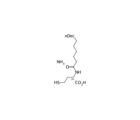 CCCCCCCCCCCCCCCC(=O)N[C@@H](CCS)C(=O)O.N